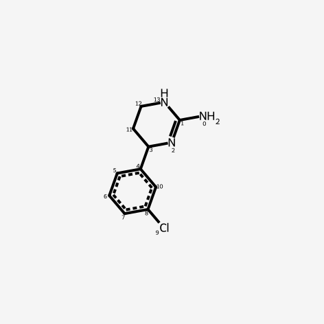 NC1=NC(c2cccc(Cl)c2)CCN1